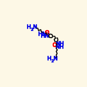 NCCCCCCNC(=O)NC1CCC(CC2CCC(NC(=O)NCCCCCCN)CC2)CC1